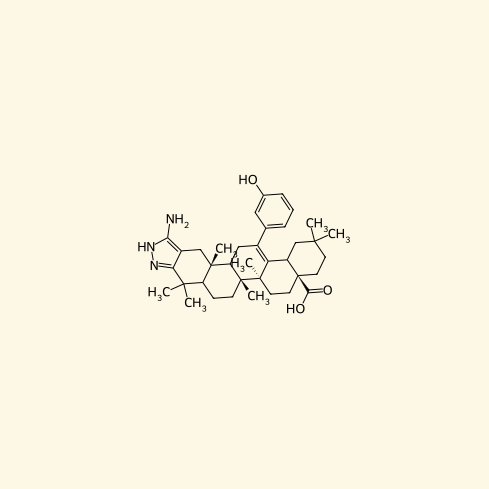 CC1(C)CC[C@]2(C(=O)O)CC[C@]3(C)C(=C(c4cccc(O)c4)CC4[C@@]5(C)Cc6c(n[nH]c6N)C(C)(C)C5CC[C@]43C)C2C1